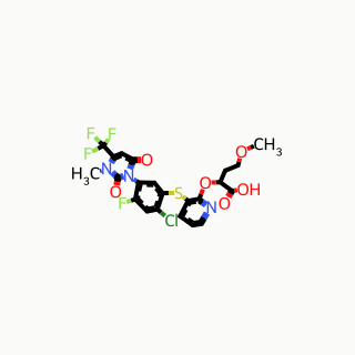 COCCC(Oc1ncccc1Sc1cc(-n2c(=O)cc(C(F)(F)F)n(C)c2=O)c(F)cc1Cl)C(=O)O